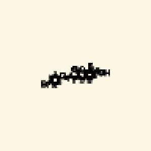 CCC1CCC(OCCCC2Cc3ccc(CO)c(F)c3OC2=O)CC1